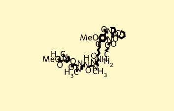 C=CCOC(=O)N1c2cc(OCCCC(=O)Nc3cn(C)c(C(=O)Nc4cn(C)c(C(=O)Oc5cc(C(=O)OC)n(C)c5)n4)n3)c(OC)cc2C(=O)N2CCC[C@H]2C1OC1CCCCO1